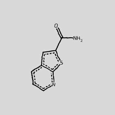 NC(=O)c1cc2cccnc2s1